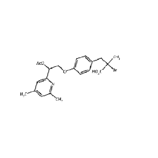 CC(=O)OC(COc1ccc(CC(C)(Br)C(=O)O)cc1)c1cc(C)cc(C)n1